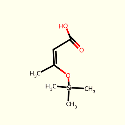 C/C(=C/C(=O)O)O[Si](C)(C)C